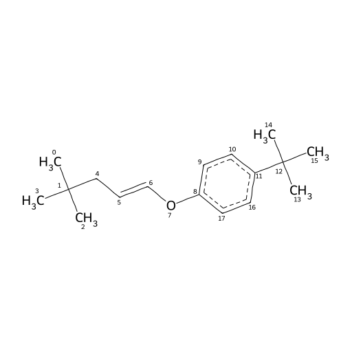 CC(C)(C)C/C=C/Oc1ccc(C(C)(C)C)cc1